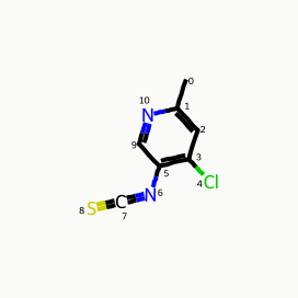 Cc1cc(Cl)c(N=C=S)cn1